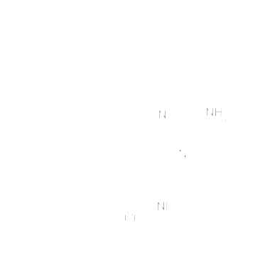 Cc1cc(C)cc(-c2cc(NC(C)C)nc(N)n2)c1